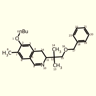 CCCCOc1cc2c(cc1C)C=NC(C(C)(C)COCc1ccccc1)C2